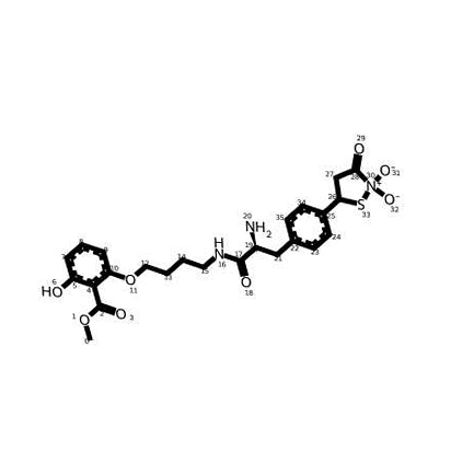 COC(=O)c1c(O)cccc1OCCCCNC(=O)[C@@H](N)Cc1ccc(C2CC(=O)[N+]([O-])([O-])S2)cc1